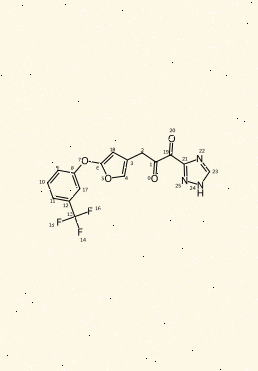 O=C(Cc1coc(Oc2cccc(C(F)(F)F)c2)c1)C(=O)c1nc[nH]n1